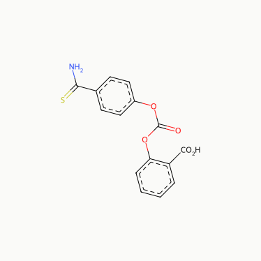 NC(=S)c1ccc(OC(=O)Oc2ccccc2C(=O)O)cc1